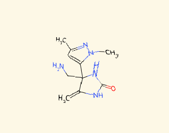 C=C1NC(=O)NC1(CN)c1cc(C)nn1C